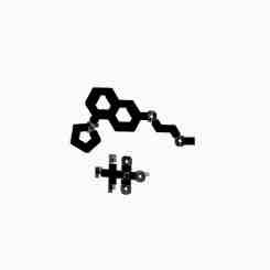 COCCOc1ccc2c([S+]3CCCC3)cccc2c1.O=S(=O)([O-])C(F)(F)F